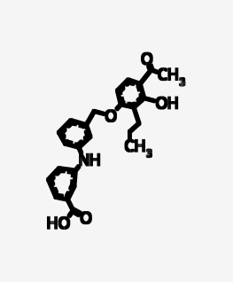 CCCc1c(OCc2cccc(Nc3cccc(C(=O)O)c3)c2)ccc(C(C)=O)c1O